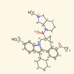 CN1CC2CCCN(C(=O)C34CC3c3c(OC(F)(F)F)cccc3-c3c(C5CCCCC5)c5ccc(C(=O)O)cc5n3C4)C2C1